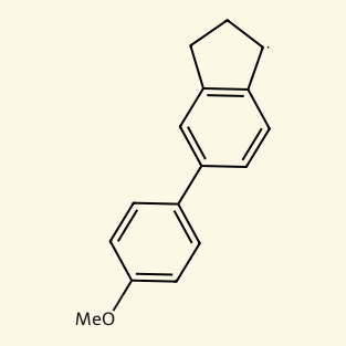 COc1ccc(-c2ccc3c(c2)CC[CH]3)cc1